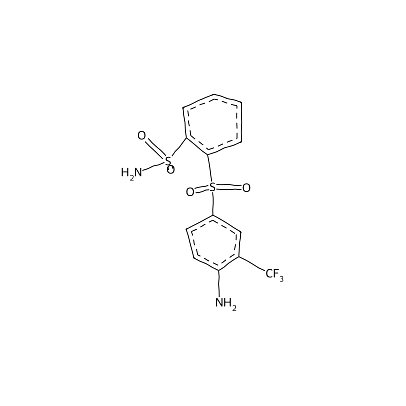 Nc1ccc(S(=O)(=O)c2ccccc2S(N)(=O)=O)cc1C(F)(F)F